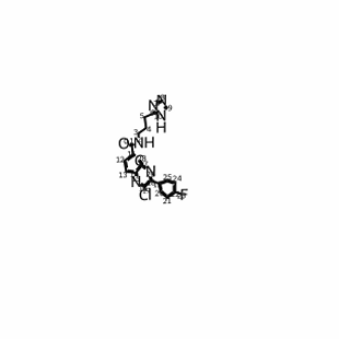 O=C(NCCCc1nnc[nH]1)c1ccc2nc(Cl)c(-c3ccc(F)cc3)nc2c1